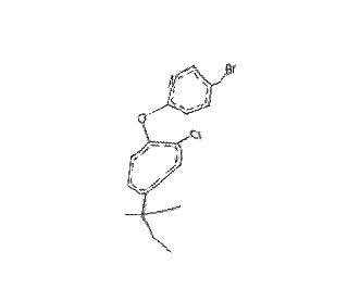 CCC(C)(C)c1ccc(Oc2ccc(Br)cn2)c(Cl)c1